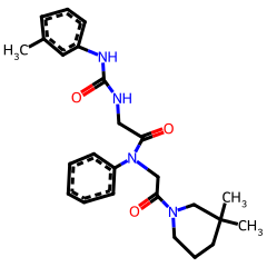 Cc1cccc(NC(=O)NCC(=O)N(CC(=O)N2CCCC(C)(C)C2)c2ccccc2)c1